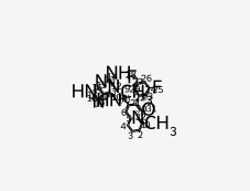 Cc1cccc2cc([C@@H](C)Nc3nc(N)nc4[nH]cnc34)c(-c3cc(F)cc(F)c3)c(=O)n12